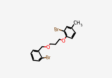 Cc1ccc(OCCCOCc2ccccc2Br)c(Br)c1